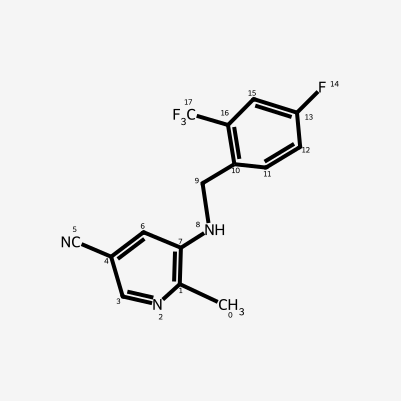 Cc1ncc(C#N)cc1NCc1ccc(F)cc1C(F)(F)F